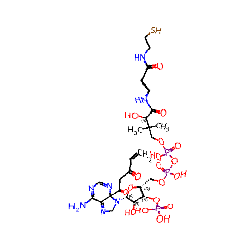 C=CC(=O)CC(=O)C12N=CN=C(N)C1=NCN2[C@@H]1O[C@H](COP(=O)(O)OP(=O)(O)OCC(C)(C)[C@@H](O)C(=O)NCCC(=O)NCCS)[C@@H](OP(=O)(O)O)[C@H]1O